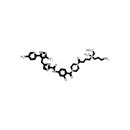 C[N+](CCCN)(CCCC(=O)N1CCN(C(=O)c2ccc(NC(=O)c3ncc(Cc4c(C(F)(F)F)n[nH]c4-c4ccc(N)cn4)[nH]3)cc2Cl)CC1)CC(=O)O